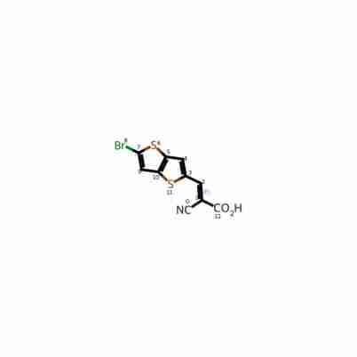 N#C/C(=C\c1cc2sc(Br)cc2s1)C(=O)O